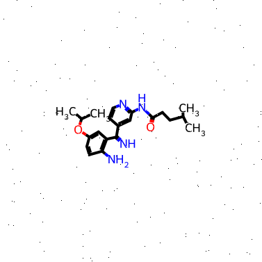 CC(C)CCC(=O)Nc1cc(C(=N)c2cc(OC(C)C)ccc2N)ccn1